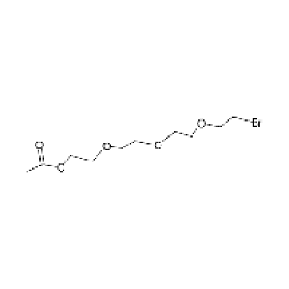 CC(=O)OCCOCCOCCOCCBr